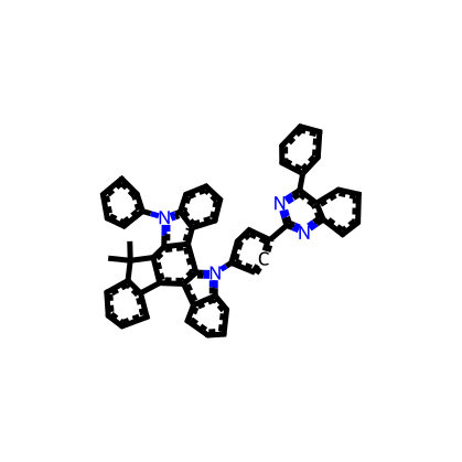 CC1(C)c2ccccc2-c2c1c1c(c3ccccc3n1-c1ccccc1)c1c2c2ccccc2n1-c1ccc(-c2nc(-c3ccccc3)c3ccccc3n2)cc1